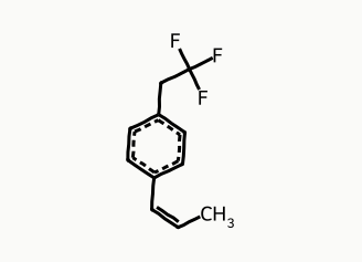 C/C=C\c1ccc(CC(F)(F)F)cc1